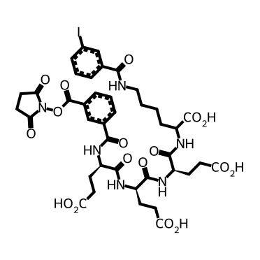 O=C(O)CC[C@@H](NC(=O)c1cccc(C(=O)ON2C(=O)CCC2=O)c1)C(=O)N[C@H](CCC(=O)O)C(=O)N[C@H](CCC(=O)O)C(=O)NC(CCCCNC(=O)c1cccc(I)c1)C(=O)O